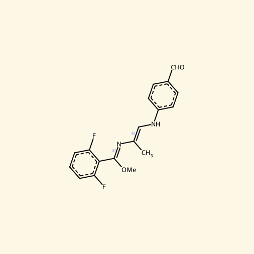 CO/C(=N\C(C)=C\Nc1ccc(C=O)cc1)c1c(F)cccc1F